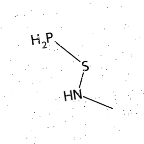 CNSP